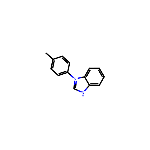 Cc1ccc(-[n+]2c[nH]c3ccccc32)cc1